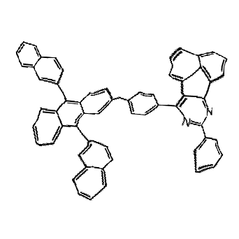 c1ccc(-c2nc(-c3ccc(-c4ccc5c(-c6ccc7ccccc7c6)c6ccccc6c(-c6ccc7ccccc7c6)c5c4)cc3)c3c(n2)-c2cccc4cccc-3c24)cc1